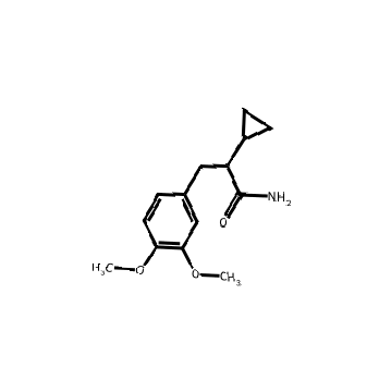 COc1ccc(CC(C(N)=O)C2CC2)cc1OC